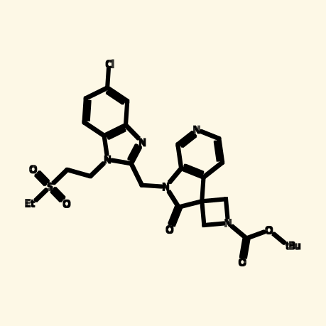 CCS(=O)(=O)CCn1c(CN2C(=O)C3(CN(C(=O)OC(C)(C)C)C3)c3ccncc32)nc2cc(Cl)ccc21